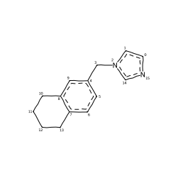 c1cn(Cc2ccc3c(c2)CCCC3)cn1